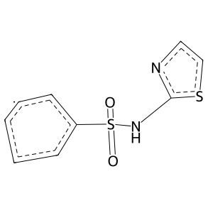 O=S(=O)(Nc1nccs1)c1c[c]ccc1